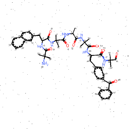 CC(NC(=O)C(C)(C)NC(=O)C(Cc1ccc2ccccc2c1)NC(=O)C(C)(C)N)C(=O)NC(C)(C)C(=O)NC(Cc1ccc(C(=O)c2ccccc2)cc1)C(=O)NC(C)(C)C=O